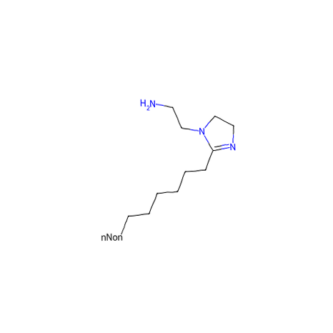 CCCCCCCCCCCCCCCC1=NCCN1CCN